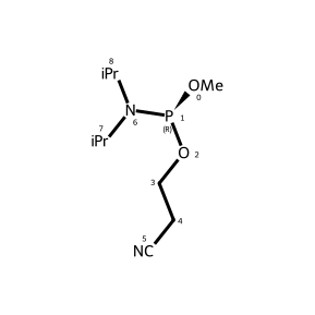 CO[P@@](OCCC#N)N(C(C)C)C(C)C